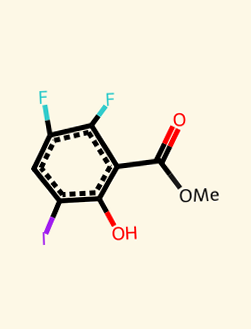 COC(=O)c1c(O)c(I)cc(F)c1F